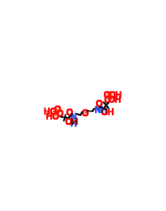 CC(C)(COP(=O)(O)O)C(O)C(=O)NCCCOCCCNC(=O)C(O)C(C)(C)COP(=O)(O)O